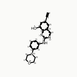 C#Cc1cc(O)c2nc(Nc3cccc(N4CCOCC4)c3)ncc2c1